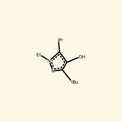 CCn1nc(C(C)(C)C)c(O)c1C(C)C